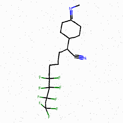 CN=C1CCC(C(C#N)CCCC(F)(F)C(F)(F)C(F)(F)C(F)(F)F)CC1